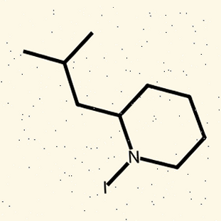 CC(C)CC1CCCCN1I